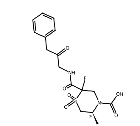 C[C@H]1CS(=O)(=O)C(F)(C(=O)NCC(=O)Cc2ccccc2)CN1C(=O)O